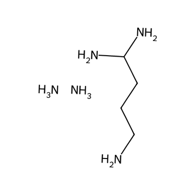 N.N.NCCCC(N)N